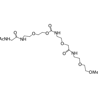 COCCOCCNC(=O)COCCNC(=O)OCCOCCNC(=O)CNC(C)=O